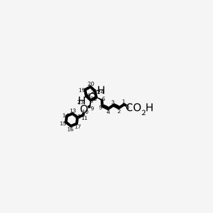 O=C(O)CC=C/C=C\C[C@H]1[C@@H](COCC2CCCCC2)[C@H]2CC[C@@H]1O2